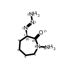 NN=N[C@@H]1CCCCN(N)C1=O